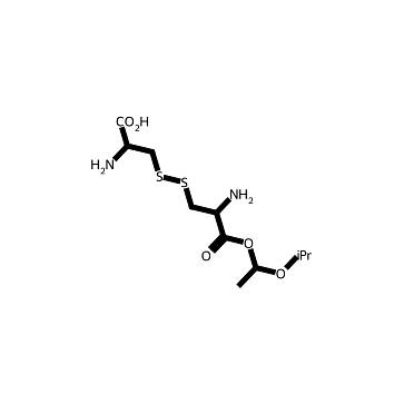 CC(C)OC(C)OC(=O)C(N)CSSCC(N)C(=O)O